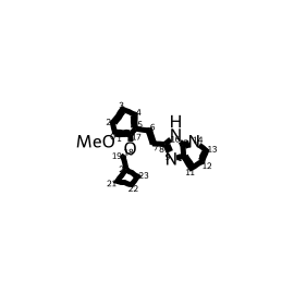 COc1cccc(/C=C/c2nc3cccnc3[nH]2)c1OCC1CCC1